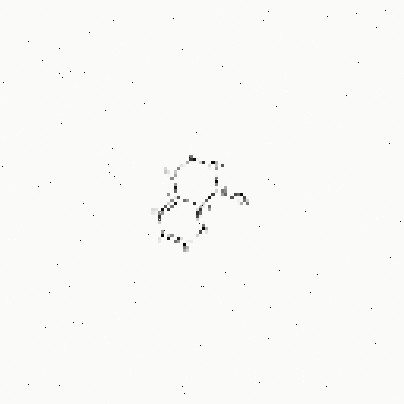 O=C1OCOc2ccccc21